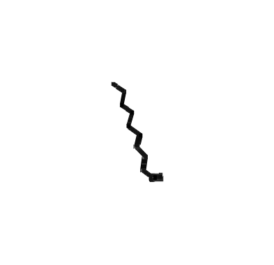 CCCCCC=CC=CO